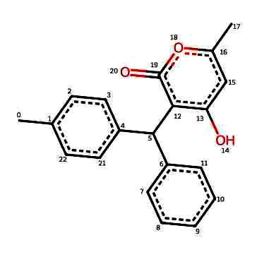 Cc1ccc(C(c2ccccc2)c2c(O)cc(C)oc2=O)cc1